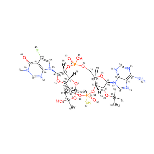 CC(C)[Si](O)(O[Si](O[C@H]1[C@H]2OP(=O)(O)OC[C@H]3O[C@@H](n4cnc5c(N)ncnc54)[C@H](O[Si](C)(C)C(C)(C)C)[C@@H]3OP(=O)(S)OC[C@H]1O[C@H]2n1cc(F)c2c(=O)n(C)cnc21)(C(C)C)C(C)C)C(C)C